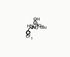 CC(C)(C)OC(=O)N1C[C@H](O)C[C@H]1c1ncc(Cc2ccc(C(F)(F)F)cc2)[nH]1